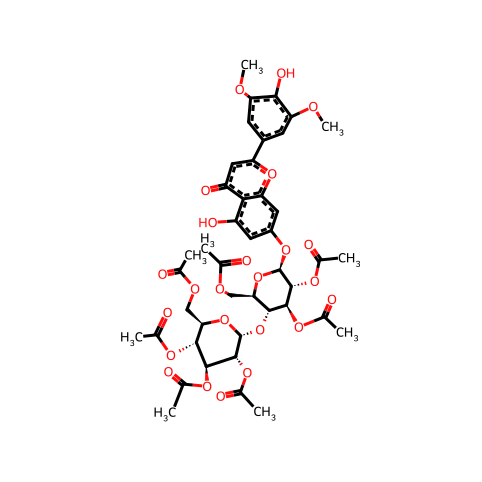 COc1cc(-c2cc(=O)c3c(O)cc(O[C@@H]4O[C@H](COC(C)=O)[C@@H](O[C@H]5O[C@H](COC(C)=O)[C@@H](OC(C)=O)[C@H](OC(C)=O)[C@H]5OC(C)=O)[C@H](OC(C)=O)[C@H]4OC(C)=O)cc3o2)cc(OC)c1O